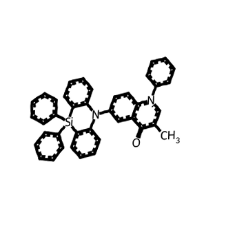 Cc1cn(-c2ccccc2)c2ccc(N3c4ccccc4[Si](c4ccccc4)(c4ccccc4)c4ccccc43)cc2c1=O